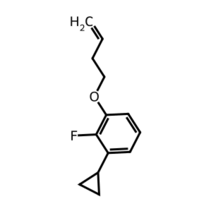 C=CCCOc1cccc(C2CC2)c1F